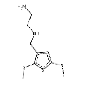 CSc1cc(CNCCN)c(SC)s1